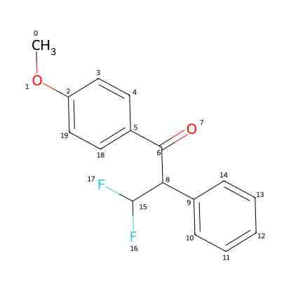 COc1ccc(C(=O)C(c2ccccc2)C(F)F)cc1